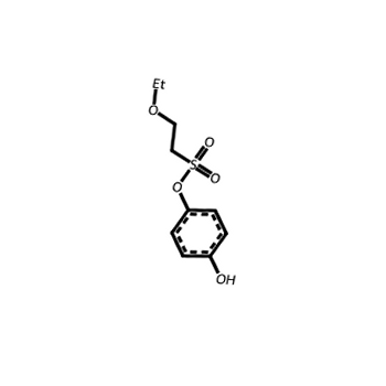 CCOCCS(=O)(=O)Oc1ccc(O)cc1